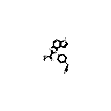 CNC(=O)c1nc2cnc3[nH]ccc3c2n1[C@H]1CC[C@H](CC#N)CC1